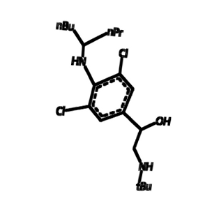 CCCCC(CCC)Nc1c(Cl)cc(C(O)CNC(C)(C)C)cc1Cl